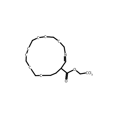 O=C(OCC(Cl)(Cl)Cl)C1C=NCCCCCCCCCCCCCC1